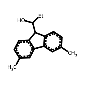 CCC(O)C1c2ccc(C)cc2-c2cc(C)ccc21